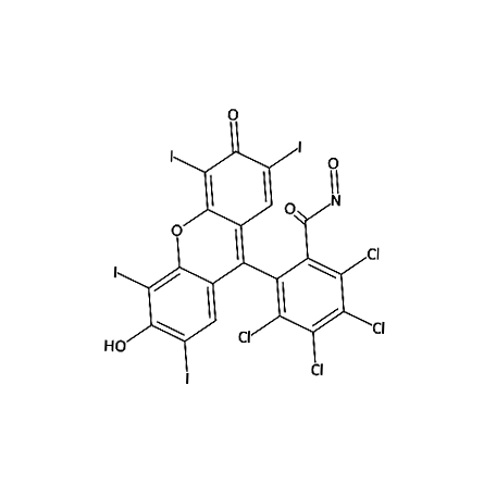 O=NC(=O)c1c(Cl)c(Cl)c(Cl)c(Cl)c1-c1c2cc(I)c(=O)c(I)c-2oc2c(I)c(O)c(I)cc12